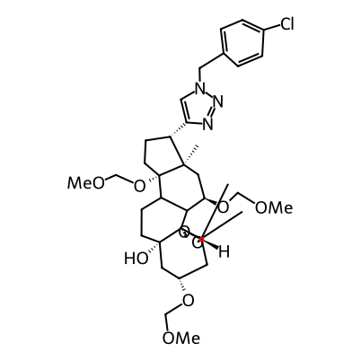 COCO[C@H]1C[C@H]2OC(C)(C)OC[C@]23C2C(CC[C@]3(O)C1)[C@@]1(OCOC)CC[C@H](c3cn(Cc4ccc(Cl)cc4)nn3)[C@@]1(C)C[C@H]2OCOC